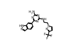 Nc1nc(NCCn2ccc(C(F)(F)F)n2)nc(-c2ccc3cn[nH]c3c2)n1